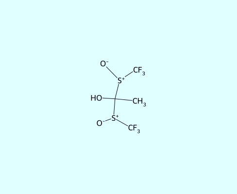 CC(O)([S+]([O-])C(F)(F)F)[S+]([O-])C(F)(F)F